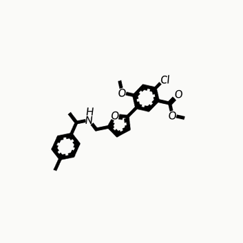 COC(=O)c1cc(-c2ccc(CNC(C)c3ccc(C)cc3)o2)c(OC)cc1Cl